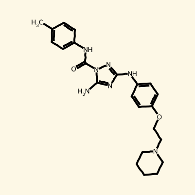 Cc1ccc(NC(=O)n2nc(Nc3ccc(OCCN4CCCCC4)cc3)nc2N)cc1